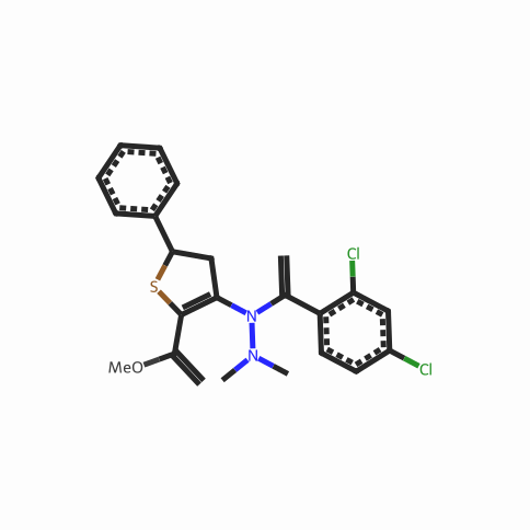 C=C(OC)C1=C(N(C(=C)c2ccc(Cl)cc2Cl)N(C)C)CC(c2ccccc2)S1